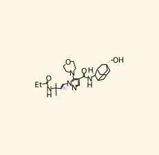 CCC(=O)NC(C)(C)/C=C/n1ncc(C(=O)N[C@H]2C3CC4CC2C[C@](CO)(C4)C3)c1N1CCOCC1